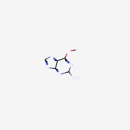 COC1=N[C](N)N=C2N=CN=C21